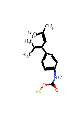 CC(C)=CC(=C(C)C)c1ccc(NC(=O)OS)cc1